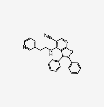 N#Cc1cnc2oc(-c3ccccc3)c(-c3ccccc3)c2c1NCCc1cccnc1